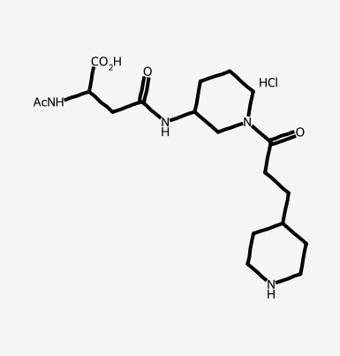 CC(=O)NC(CC(=O)NC1CCCN(C(=O)CCC2CCNCC2)C1)C(=O)O.Cl